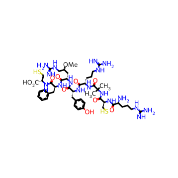 COC(CNC(=N)N)C[C@H](NC(=O)[C@@H](Cc1ccc(O)cc1)NC(=O)[C@H](CCCNC(=N)N)NC(=O)C(C)(C)NC(=O)[C@H](CS)NC(=O)[C@@H](N)CCCNC(=N)N)C(=O)N[C@@H](Cc1ccccc1)C(=O)N[C@@H](CS)C(=O)O